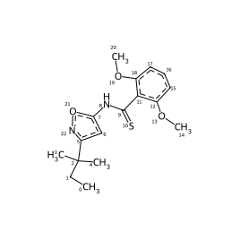 CCC(C)(C)c1cc(NC(=S)c2c(OC)cccc2OC)on1